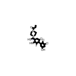 C=CC(=O)N1CCN(/C(S)=C2\C=C(Cl)C(c3cc(O)cc(Cl)c3Cl)=C(F)C2=N)CC1